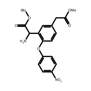 COC(=O)Cc1ccc(Oc2ccc([N+](=O)[O-])cc2)c(C(N)C(=O)OC(C)(C)C)c1